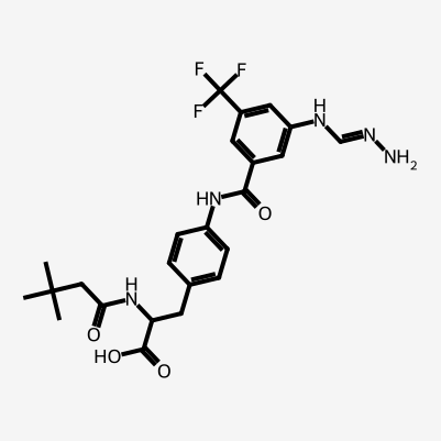 CC(C)(C)CC(=O)NC(Cc1ccc(NC(=O)c2cc(NC=NN)cc(C(F)(F)F)c2)cc1)C(=O)O